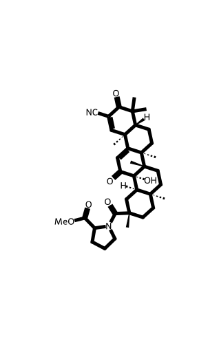 COC(=O)C1CCCN1C(=O)[C@@]1(C)CC[C@]2(C)CC[C@@]3(C)[C@]4(C)CC[C@H]5C(C)(C)C(=O)C(C#N)=C[C@]5(C)C4=CC(=O)[C@]3(O)[C@@H]2C1